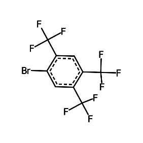 FC(F)(F)c1cc(C(F)(F)F)c(C(F)(F)F)cc1Br